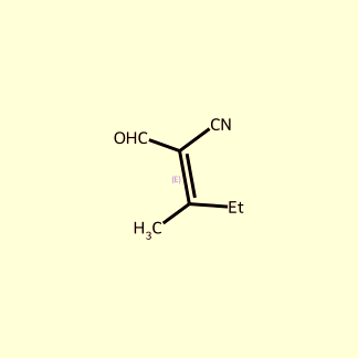 CC/C(C)=C(\C#N)C=O